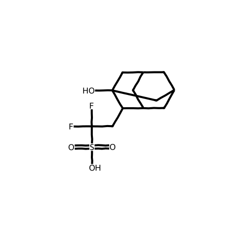 O=S(=O)(O)C(F)(F)CC1C2CC3CC(C2)CC1(O)C3